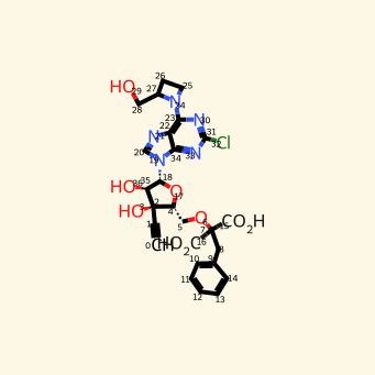 C#C[C@@]1(O)[C@@H](COC(Cc2ccccc2)(C(=O)O)C(=O)O)O[C@@H](n2cnc3c(N4CCC4CO)nc(Cl)nc32)[C@@H]1O